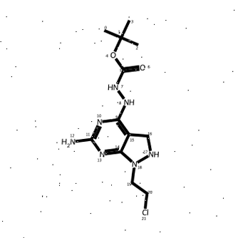 CC(C)(C)OC(=O)NNc1nc(N)nc2c1CNN2CCCl